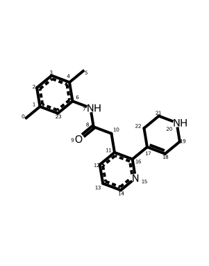 Cc1ccc(C)c(NC(=O)Cc2cccnc2C2=CCNCC2)c1